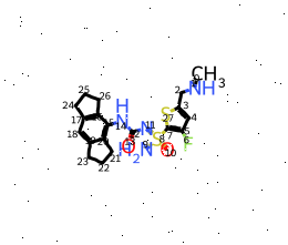 CNCc1cc(F)c(S(N)(=O)=NC(=O)Nc2c3c(cc4c2CCC4)CCC3)s1